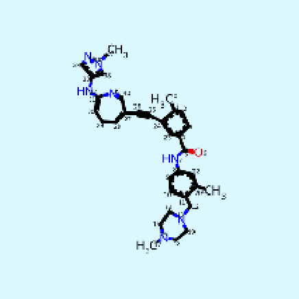 Cc1ccc(C(=O)Nc2ccc(CN3CCN(C)CC3)c(C)c2)cc1C#CC1=CCC=C(Nc2cnn(C)c2)N=C1